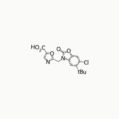 CC(C)(C)c1cc2c(cc1Cl)oc(=O)n2Cc1ncc(C(=O)O)o1